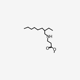 CCCCCCC(CC)CNCCC(=O)OC